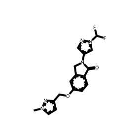 Cn1ccc(COc2ccc3c(c2)CN(c2cnn(C(F)F)c2)C3=O)n1